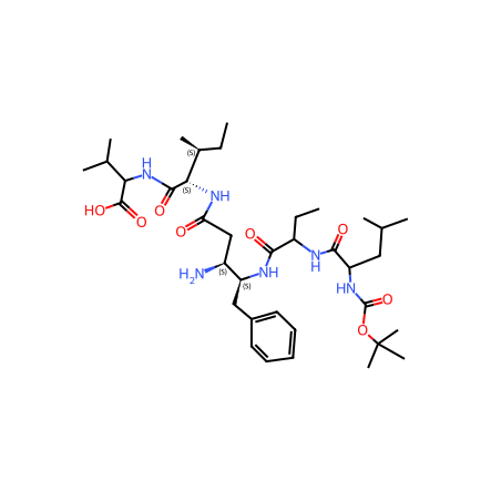 CCC(NC(=O)C(CC(C)C)NC(=O)OC(C)(C)C)C(=O)N[C@@H](Cc1ccccc1)[C@@H](N)CC(=O)N[C@H](C(=O)NC(C(=O)O)C(C)C)[C@@H](C)CC